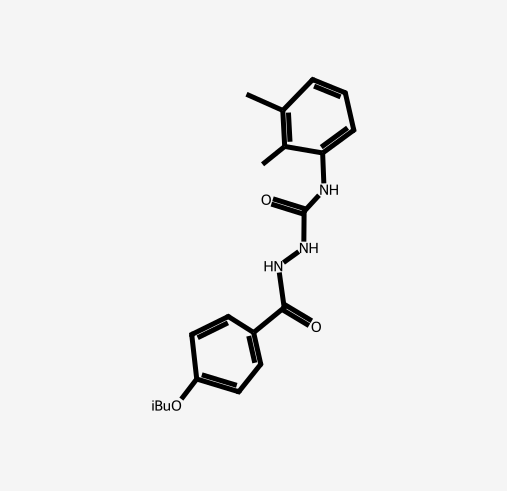 Cc1cccc(NC(=O)NNC(=O)c2ccc(OCC(C)C)cc2)c1C